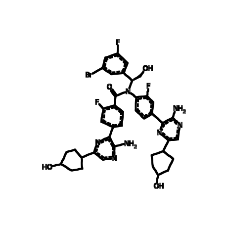 Nc1ncc(C2CCC(O)CC2)nc1-c1ccc(C(=O)N(c2ccc(-c3nc(C4CCC(O)CC4)cnc3N)cc2F)[C@H](CO)c2cc(F)cc(Br)c2)c(F)c1